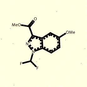 COC(=O)c1nn(C(F)F)c2ccc(OC)cc12